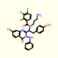 NCCCN(C(=O)c1ccc(F)c(F)c1F)C(Cc1ccc(O)cc1)c1nc2cc(Cl)ccc2c(=O)n1Nc1ccccc1